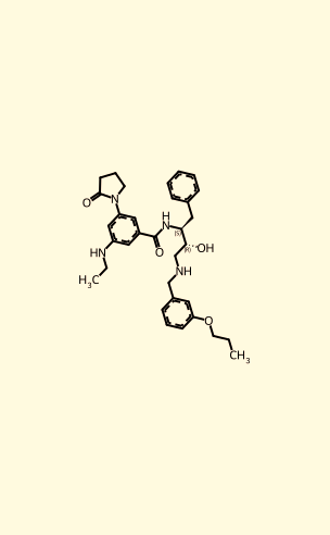 CCCOc1cccc(CNC[C@@H](O)[C@H](Cc2ccccc2)NC(=O)c2cc(NCC)cc(N3CCCC3=O)c2)c1